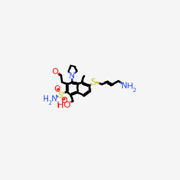 Cc1c(SCC=CCN)ccc2c(CO)c(S(N)(=O)=O)c(CC=O)c(N3CCCC3)c12